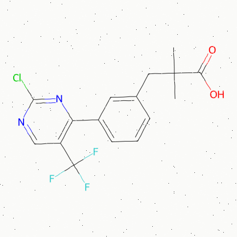 CC(C)(Cc1cccc(-c2nc(Cl)ncc2C(F)(F)F)c1)C(=O)O